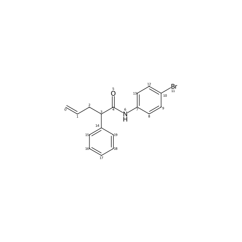 C=CCC(C(=O)Nc1ccc(Br)cc1)c1ccccc1